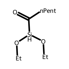 CCCCCC(=O)[SiH](OCC)OCC